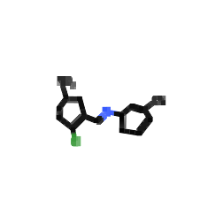 N#Cc1cccc(/N=C/c2cc([N+](=O)[O-])ccc2Cl)c1